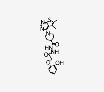 Cc1sc2ncnc(N3CCC(C(=O)NNC(=O)COc4ccccc4O)CC3)c2c1C